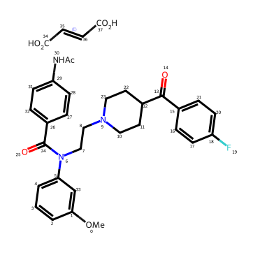 COc1cccc(N(CCN2CCC(C(=O)c3ccc(F)cc3)CC2)C(=O)c2ccc(NC(C)=O)cc2)c1.O=C(O)/C=C/C(=O)O